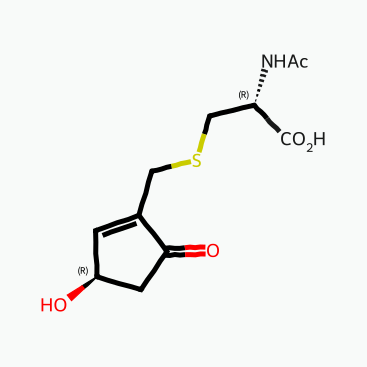 CC(=O)N[C@@H](CSCC1=C[C@H](O)CC1=O)C(=O)O